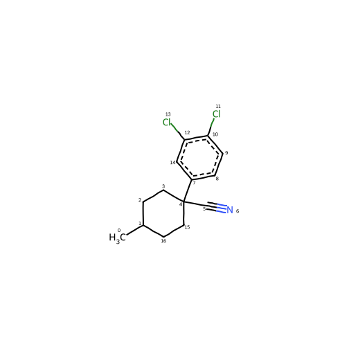 CC1CCC(C#N)(c2ccc(Cl)c(Cl)c2)CC1